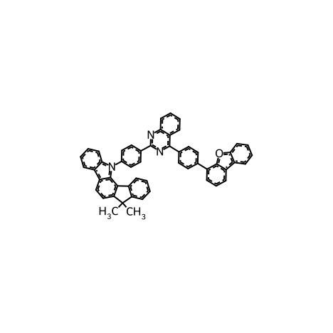 CC1(C)c2ccccc2-c2c1ccc1c3ccccc3n(-c3ccc(-c4nc(-c5ccc(-c6cccc7c6oc6ccccc67)cc5)c5ccccc5n4)cc3)c21